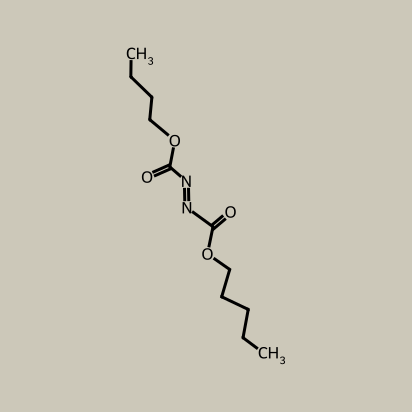 CCCCCOC(=O)N=NC(=O)OCCCC